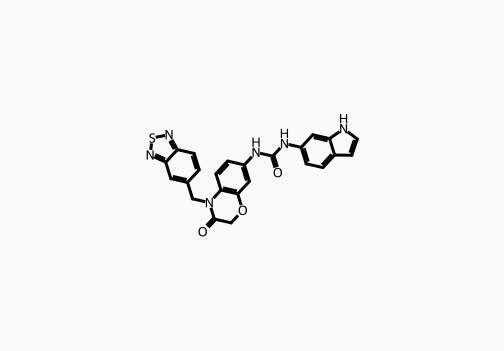 O=C(Nc1ccc2c(c1)OCC(=O)N2Cc1ccc2nsnc2c1)Nc1ccc2cc[nH]c2c1